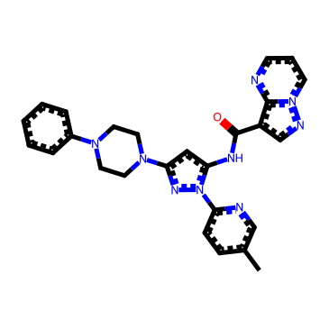 Cc1ccc(-n2nc(N3CCN(c4ccccc4)CC3)cc2NC(=O)c2cnn3cccnc23)nc1